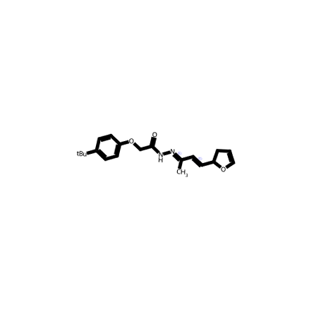 CC(/C=C/C1CC=CO1)=N\NC(=O)COc1ccc(C(C)(C)C)cc1